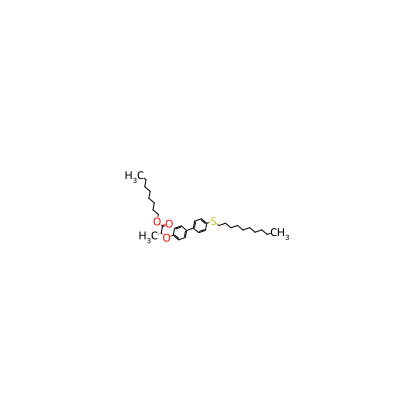 CCCCCCCCCCSc1ccc(-c2ccc(O[C@H](C)C(=O)OCCCCCCCC)cc2)cc1